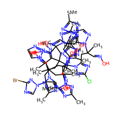 CSc1ncn(C(C)(C=NO)CC(=NO)C(C)(n2nc(Cl)nc2CC(C)(C=NO)n2ncnc2C)C(CC(C)(C=NO)n2cnc(C)n2)(CC(C)(C=NO)n2nc(C)nc2C)C(=NO)C(C)(n2ccnn2)C(CC(C)(C=NO)n2cnc(Br)n2)(CC(C)(C=NO)n2nc(SC)nc2C)CC(C)(C=NO)n2nc(C)nc2SC)n1